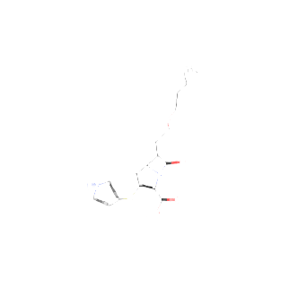 CCCCOCCC1C(=O)N2C(C(=O)O)=C(Sc3cc[nH]c3)CC12